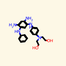 Nc1cc(N)c(Nc2ccc(N(CCO)CCO)cc2)cc1Nc1ccccc1